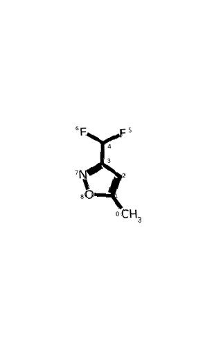 Cc1cc(C(F)F)no1